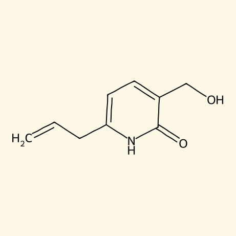 C=CCc1ccc(CO)c(=O)[nH]1